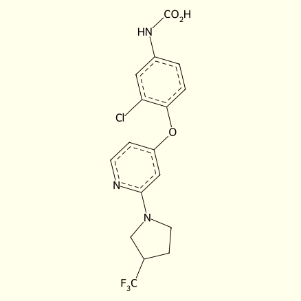 O=C(O)Nc1ccc(Oc2ccnc(N3CCC(C(F)(F)F)C3)c2)c(Cl)c1